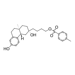 Cc1ccc(S(=O)(=O)OCCCC[C@]2(O)CC[C@]3(C)CCc4cc(O)ccc4[C@H]3C2)cc1